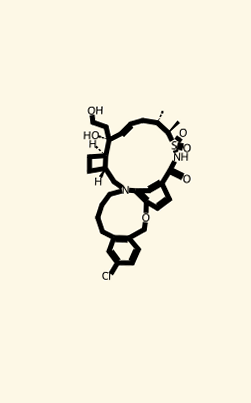 C[C@@H]1[C@@H](C)C/C=C/[C@](O)(CCO)[C@@H]2CC[C@H]2CN2CCCCc3cc(Cl)ccc3COc3ccc(cc32)C(=O)NS1(=O)=O